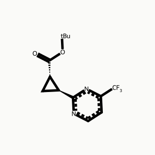 CC(C)(C)OC(=O)[C@H]1C[C@@H]1c1nccc(C(F)(F)F)n1